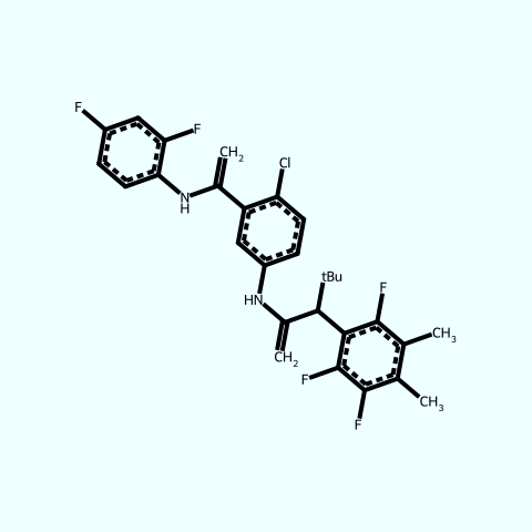 C=C(Nc1ccc(F)cc1F)c1cc(NC(=C)C(c2c(F)c(C)c(C)c(F)c2F)C(C)(C)C)ccc1Cl